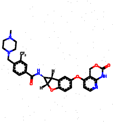 CN1CCN(Cc2ccc(C(=O)N[C@H]3[C@H]4Oc5ccc(Oc6ccnc7c6COC(=O)N7)cc5[C@@H]34)cc2C(F)(F)F)CC1